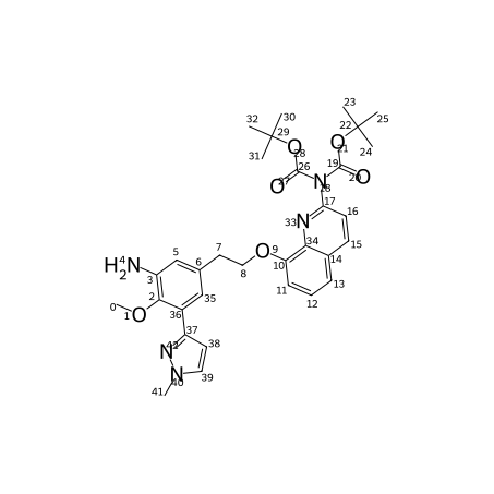 COc1c(N)cc(CCOc2cccc3ccc(N(C(=O)OC(C)(C)C)C(=O)OC(C)(C)C)nc23)cc1-c1ccn(C)n1